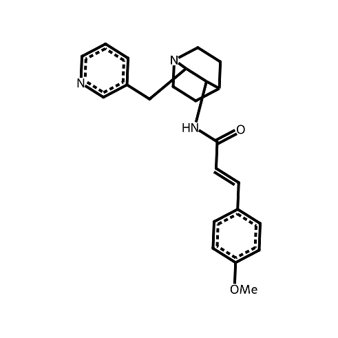 COc1ccc(/C=C/C(=O)NC2C3CCN(CC3)C2Cc2cccnc2)cc1